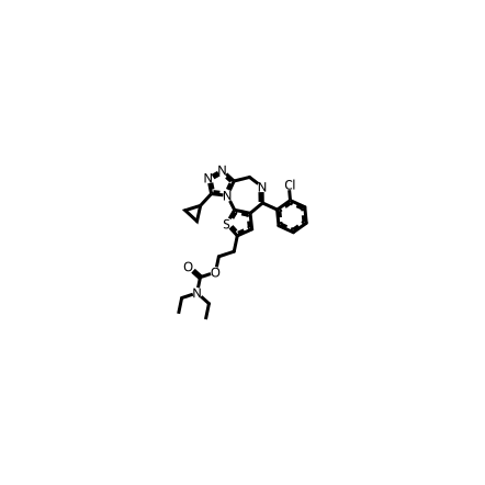 CCN(CC)C(=O)OCCc1cc2c(s1)-n1c(nnc1C1CC1)CN=C2c1ccccc1Cl